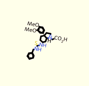 COc1ccc([C@@]23CC[C@@H](NC(=S)NCc4ccccc4)C[C@@H]2N(CC(=O)O)CC3)cc1OC